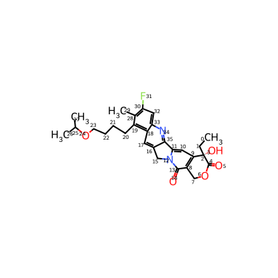 CC[C@@]1(O)C(=O)OCc2c1cc1n(c2=O)Cc2cc3c(CCCCOC(C)C)c(C)c(F)cc3nc2-1